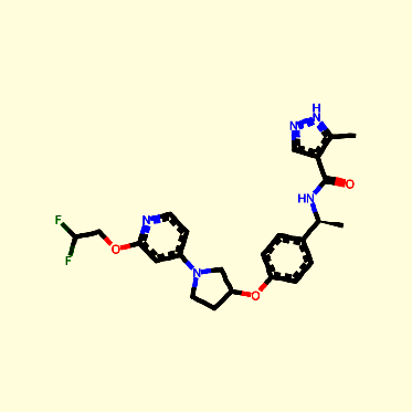 Cc1[nH]ncc1C(=O)N[C@@H](C)c1ccc(OC2CCN(c3ccnc(OCC(F)F)c3)C2)cc1